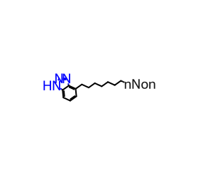 CCCCCCCCCCCCCCCCc1cccc2[nH]nnc12